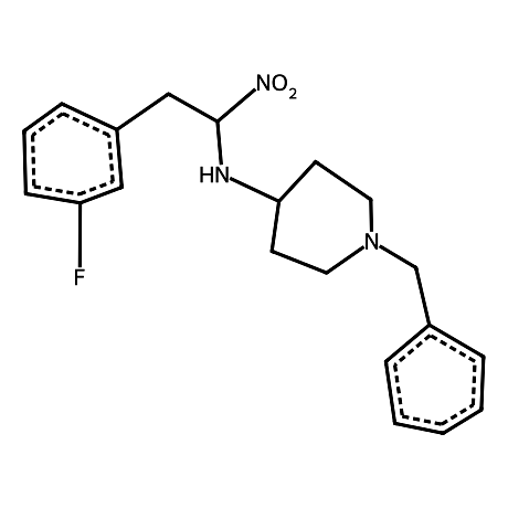 O=[N+]([O-])C(Cc1cccc(F)c1)NC1CCN(Cc2ccccc2)CC1